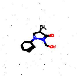 CC1CN(c2ccccc2)N(CO)C1=O